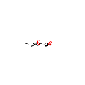 CCCC1CCC(C2CCC(CCc3ccc(OC)cc3)OC2)CC1